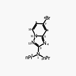 CCCN(CCC)c1nc2cc(Br)ccn2n1